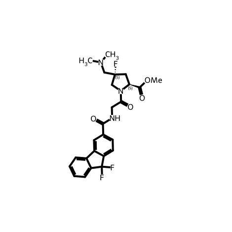 COC(=O)[C@@H]1C[C@](F)(CN(C)C)CN1C(=O)CNC(=O)c1ccc2c(c1)-c1ccccc1C2(F)F